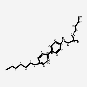 CCCCCCCc1ccc(-c2ccc(OCC(C)OCCCC)cc2)nc1